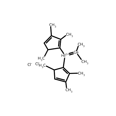 CC1=CC(C)[C]([Hf+2]([C]2=C(C)C(C)=CC2C)=[Ge]([CH3])[CH3])=C1C.[Cl-].[Cl-]